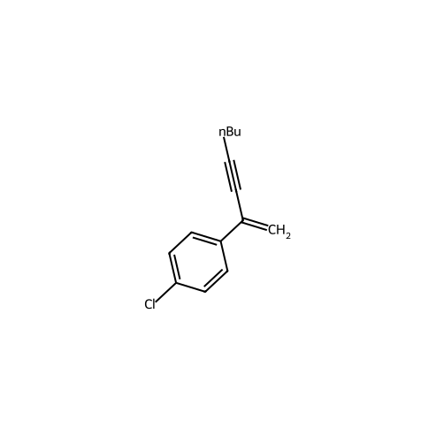 C=C(C#CCCCC)c1ccc(Cl)cc1